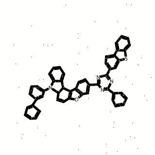 C1=CC2C(c3ccccc3N2c2cccc(-c3ccccc3)c2)c2c1oc1cc(-c3nc(-c4ccccc4)nc(-c4ccc5c(c4)sc4ccccc45)n3)ccc21